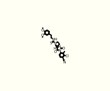 COc1ccc(CCNC(=S)N2CC3CC2[C@H]2C(=O)N(c4ccc(C#N)c(Cl)c4C)C(=O)N32)cc1OC